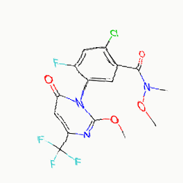 COc1nc(C(F)(F)F)cc(=O)n1-c1cc(C(=O)N(C)OC)c(Cl)cc1F